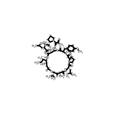 CC[C@H](C)[C@H]1NC(=O)[C@H](NC(=O)[C@@H](CC(C)C)N(C)C(=O)[C@@H]2CCCN2C(=O)C(C)=O)[C@H](C)OC(=O)C(Cc2ccc(OC)cc2)N(C)C(=O)[C@@H]2CCCN2C(=O)[C@H](CC(C)C)NC(=O)[C@H](C)C(=O)[C@H](C(C)C)OC(=O)C[C@@H]1O